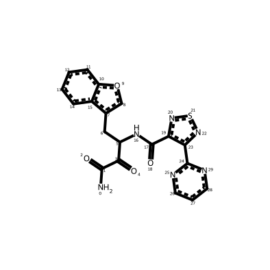 NC(=O)C(=O)C(Cc1coc2ccccc12)NC(=O)c1nsnc1-c1ncccn1